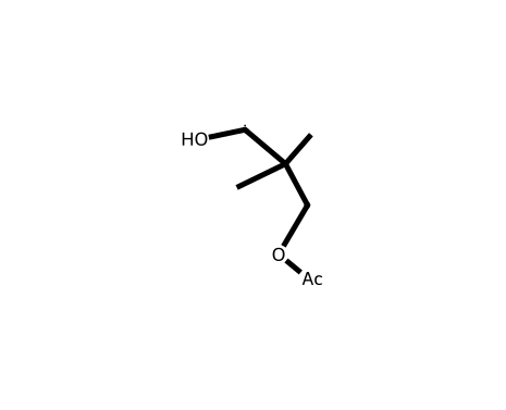 CC(=O)OCC(C)(C)[CH]O